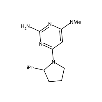 CNc1cc(N2CCCC2C(C)C)nc(N)n1